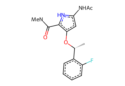 CNC(=O)c1[nH]c(NC(C)=O)cc1O[C@H](C)c1ccccc1F